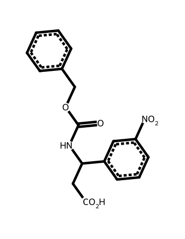 O=C(O)CC(NC(=O)OCc1ccccc1)c1cccc([N+](=O)[O-])c1